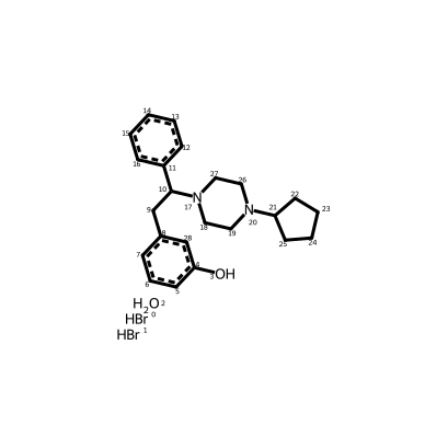 Br.Br.O.Oc1cccc(CC(c2ccccc2)N2CCN(C3CCCC3)CC2)c1